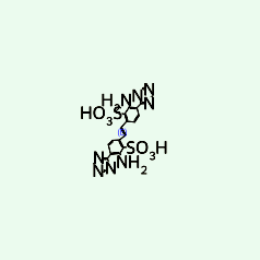 Nc1c(-c2ncncn2)ccc(/C=C/c2ccc(-c3ncncn3)c(N)c2S(=O)(=O)O)c1S(=O)(=O)O